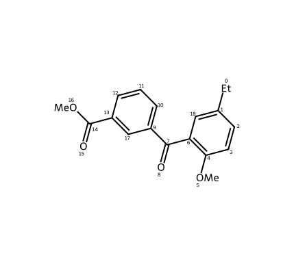 CCc1ccc(OC)c(C(=O)c2cccc(C(=O)OC)c2)c1